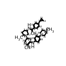 CC1CCC(NC(=O)c2ccc(C3CC3)cc2)CN1c1cnc(C#N)c(Nc2ccc(N3CCN(C)CC3)c(F)c2)n1